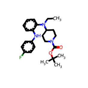 CCN(c1ccccc1Nc1ccc(F)cc1)C1CCN(C(=O)OC(C)(C)C)CC1